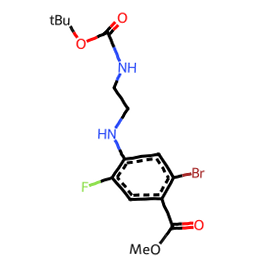 COC(=O)c1cc(F)c(NCCNC(=O)OC(C)(C)C)cc1Br